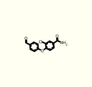 NC(=O)c1ccc(Oc2ccc(C=O)cc2)c(Cl)c1